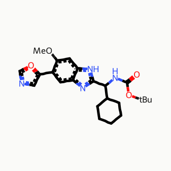 COc1cc2[nH]c(C(NC(=O)OC(C)(C)C)C3CCCCC3)nc2cc1-c1cnco1